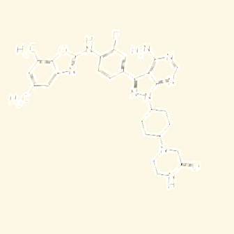 Cc1cc(C)c2oc(Nc3ccc(-c4nn(C5CCC(N6CCNC(=O)C6)CC5)c5ncnc(N)c45)cc3F)nc2c1